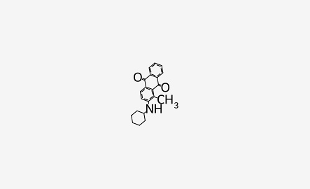 Cc1c(NC2CCCCC2)ccc2c1C(=O)c1ccccc1C2=O